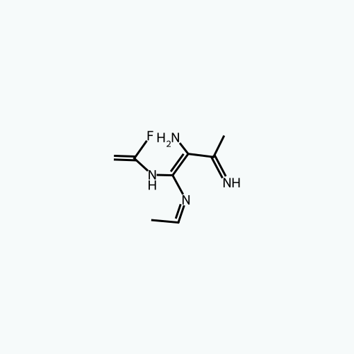 C=C(F)NC(/N=C\C)=C(\N)C(C)=N